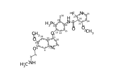 CNCCOc1cc2nccc(Oc3ccc(NC(=O)c4c(OC)ccnc4F)c(I)c3P)c2cc1OC